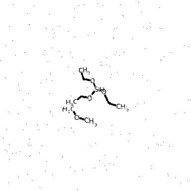 CCO[SiH](OCC)OCC.COC